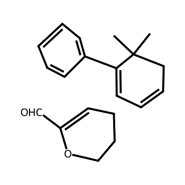 CC1(C)CC=CC=C1c1ccccc1.O=CC1=CCCCO1